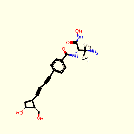 CC(C)(N)[C@H](NC(=O)c1ccc(C#CC#CC2C[C@@H](O)[C@H]2CO)cc1)C(=O)NO